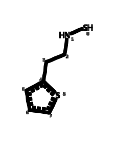 SNCCc1cccs1